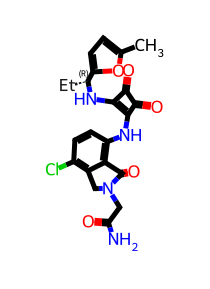 CC[C@@H](Nc1c(Nc2ccc(Cl)c3c2C(=O)N(CC(N)=O)C3)c(=O)c1=O)c1ccc(C)o1